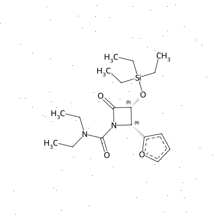 CCN(CC)C(=O)N1C(=O)[C@H](O[Si](CC)(CC)CC)[C@@H]1c1ccco1